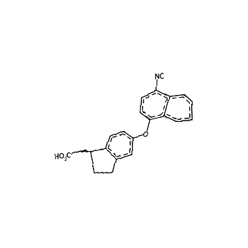 [C-]#[N+]c1ccc(Oc2ccc3c(c2)CC[C@H]3CC(=O)O)c2ccccc12